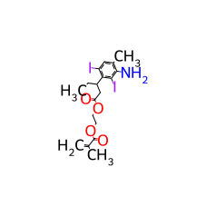 C=C(C)C(=O)OCCOC(=O)CC(CC)c1c(I)cc(C)c(N)c1I